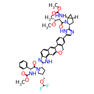 COC(=O)N[C@H](C(=O)N1[C@@H]2C[C@@H]2C[C@H]1c1ncc(-c2ccc3c(c2)COc2cc4c(ccc5nc([C@@H]6C[C@H](COC(F)F)CN6C(=O)[C@H](NC(=O)OC)c6ccccc6)[nH]c54)cc2-3)[nH]1)[C@@H](C)OC